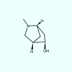 CN1C[C@@H]2C[C@H]1C[C@H]2O